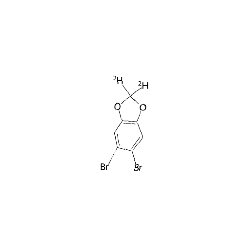 [2H]C1([2H])Oc2cc(Br)c(Br)cc2O1